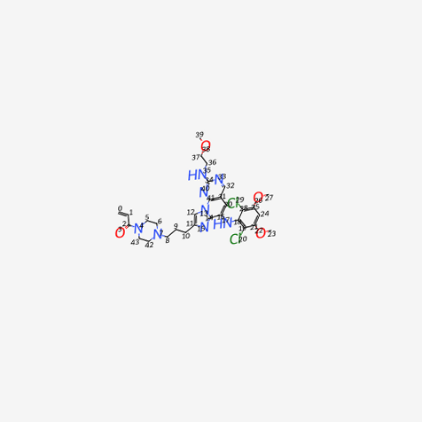 C=CC(=O)N1CCN(CCCc2cn3c(n2)c(Nc2c(Cl)c(OC)cc(OC)c2Cl)cc2cnc(NCCOC)nc23)CC1